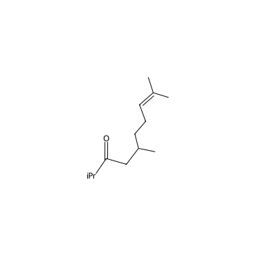 CC(C)=CCCC(C)CC(=O)C(C)C